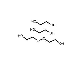 OCCO.OCCO.OCCOOCCO